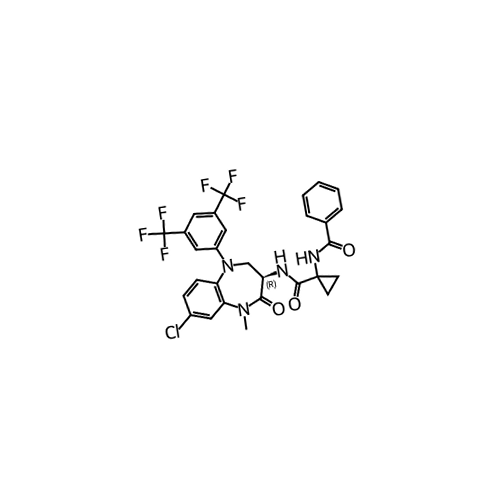 CN1C(=O)[C@H](NC(=O)C2(NC(=O)c3ccccc3)CC2)CN(c2cc(C(F)(F)F)cc(C(F)(F)F)c2)c2ccc(Cl)cc21